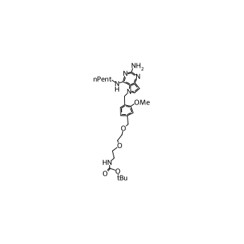 CCCCCNc1nc(N)nc2ccn(Cc3ccc(COCCOCCNC(=O)OC(C)(C)C)cc3OC)c12